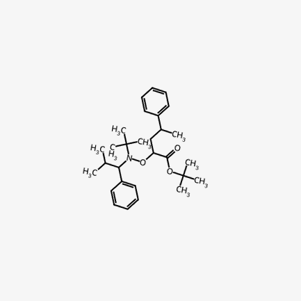 CC(CC(ON(C(c1ccccc1)C(C)C)C(C)(C)C)C(=O)OC(C)(C)C)c1ccccc1